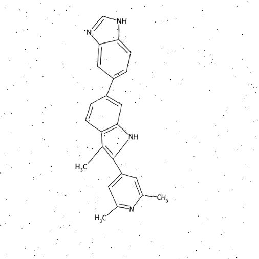 Cc1cc(-c2[nH]c3cc(-c4ccc5[nH]cnc5c4)ccc3c2C)cc(C)n1